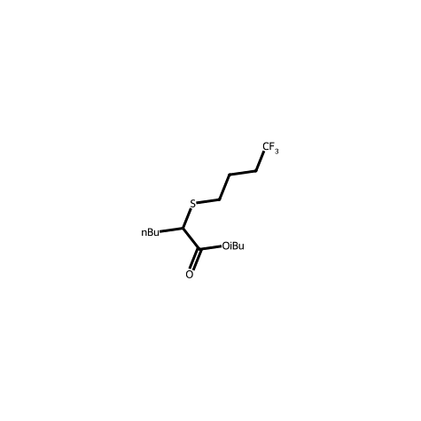 CCCCC(SCCCC(F)(F)F)C(=O)OCC(C)C